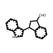 O=CC1CC(c2c[nH]c3ccccc23)c2ccccc21